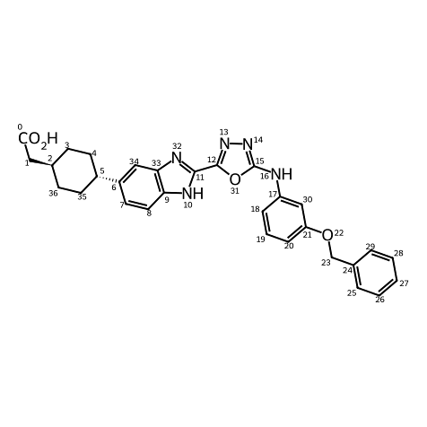 O=C(O)C[C@H]1CC[C@H](c2ccc3[nH]c(-c4nnc(Nc5cccc(OCc6ccccc6)c5)o4)nc3c2)CC1